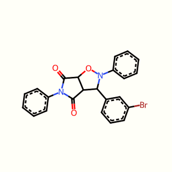 O=C1C2ON(c3ccccc3)C(c3cccc(Br)c3)C2C(=O)N1c1ccccc1